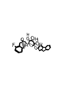 O=P(O)(CC[C@H]1OC(Oc2ccc3c(c2)Cc2ccccc2-3)[C@@H](O)[C@@H](O)[C@@H]1O)Cc1c(F)cccc1F